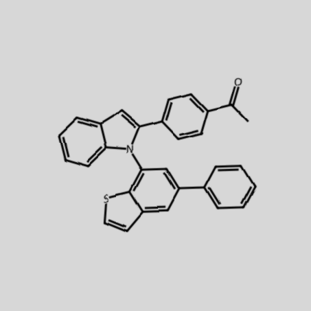 CC(=O)c1ccc(-c2cc3ccccc3n2-c2cc(-c3ccccc3)cc3ccsc23)cc1